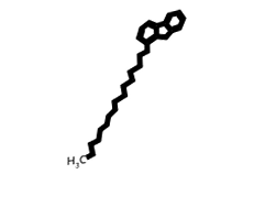 CCCCCCCCCCCCCCCCc1cccc2c1Cc1ccccc1-2